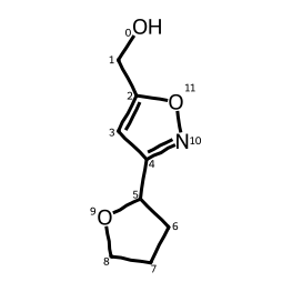 OCc1cc(C2CCCO2)no1